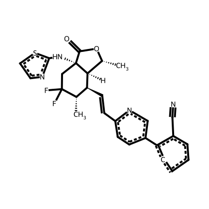 C[C@H]1OC(=O)[C@]2(Nc3nccs3)CC(F)(F)[C@@H](C)[C@H](/C=C/c3ccc(-c4ccccc4C#N)cn3)[C@H]12